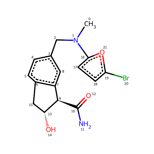 CN(Cc1ccc2c(c1)[C@@H](C(N)=O)[C@H](O)C2)c1ccc(Br)o1